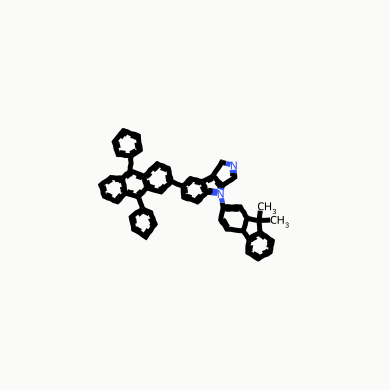 CC1(C)c2ccccc2C2C=CC(n3c4c(c5cc(-c6ccc7c(-c8ccccc8)c8ccccc8c(-c8ccccc8)c7c6)ccc53)CN=C4)=CC21